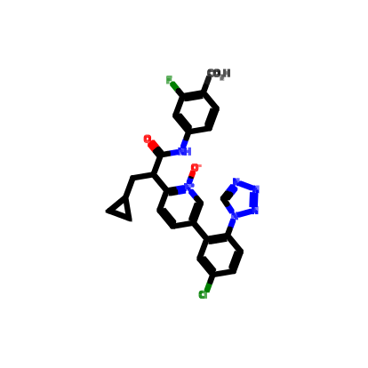 O=C(O)c1ccc(NC(=O)C(CC2CC2)c2ccc(-c3cc(Cl)ccc3-n3cnnn3)c[n+]2[O-])cc1F